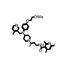 COCCOc1ccc(N(Cc2cnccc2C)C2CCN([C@H](C)CCNC(=O)c3c(C)cc(F)nc3C)CC2)cc1